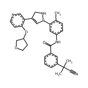 Cc1ccc(NC(=O)c2cccc(C(C)(C)C#N)c2)cc1N1C=C(c2cnccc2OC2CCOC2)CN1